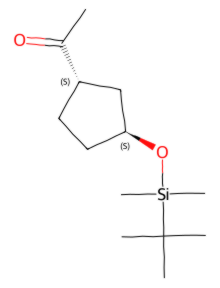 CC(=O)[C@H]1CC[C@H](O[Si](C)(C)C(C)(C)C)C1